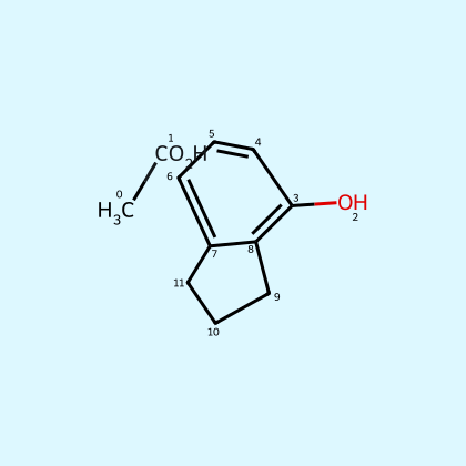 CC(=O)O.Oc1cccc2c1CCC2